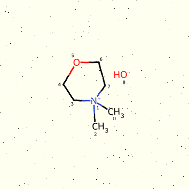 C[N+]1(C)CCOCC1.[OH-]